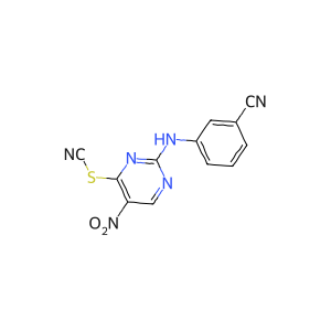 N#CSc1nc(Nc2cccc(C#N)c2)ncc1[N+](=O)[O-]